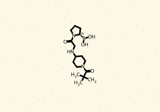 CC(C)(C)C(=O)N1CCC(NCC(=O)N2CCC[C@H]2B(O)O)CC1